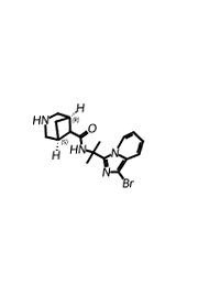 CC(C)(NC(=O)C1[C@@H]2CNC[C@H]1C2)c1nc(Br)c2ccccn12